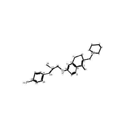 CC1=C(CN2CCCCC2)CCc2cc(OC[C@H](C)Cc3ccc(F)cc3)ccc21